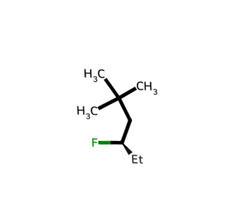 CC[C@@H](F)CC(C)(C)C